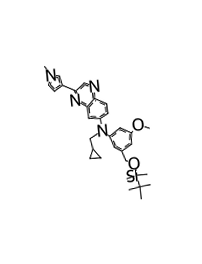 COc1cc(CO[Si](C)(C)C(C)(C)C)cc(N(CC2CC2)c2ccc3ncc(-c4ccn(C)c4)nc3c2)c1